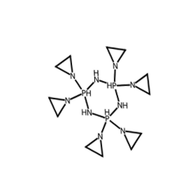 C1CN1[PH]1(N2CC2)N[PH](N2CC2)(N2CC2)N[PH](N2CC2)(N2CC2)N1